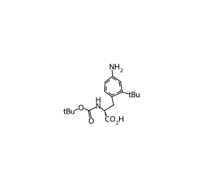 CC(C)(C)OC(=O)N[C@@H](Cc1ccc(N)cc1C(C)(C)C)C(=O)O